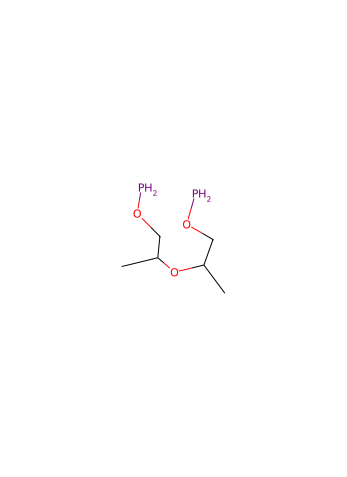 CC(COP)OC(C)COP